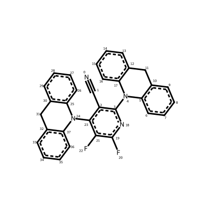 N#Cc1c(N2c3ccccc3Cc3ccccc32)nc(F)c(F)c1N1c2ccccc2Cc2ccccc21